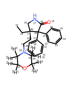 [2H]C1([2H])OC([2H])([2H])C([2H])([2H])N(CC[C@@]2(CC)CNC(=O)C2(c2ccccc2)c2ccccc2)C1([2H])[2H]